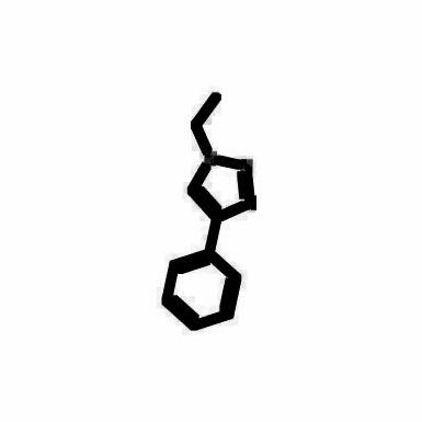 CCn1cc(-c2ccccc2)nn1